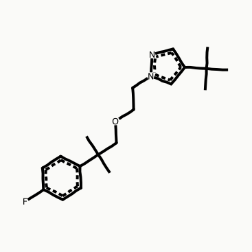 CC(C)(C)c1cnn(CCOCC(C)(C)c2ccc(F)cc2)c1